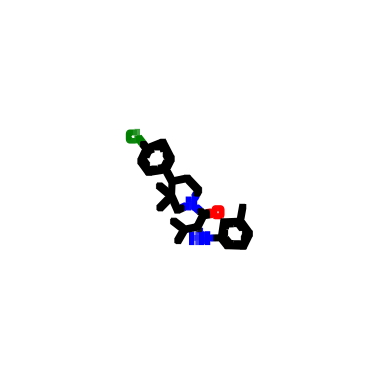 Cc1cccc(N[C@@H](C(=O)N2CCC(c3ccc(Cl)cc3)C(C)(C)C2)C(C)C)c1